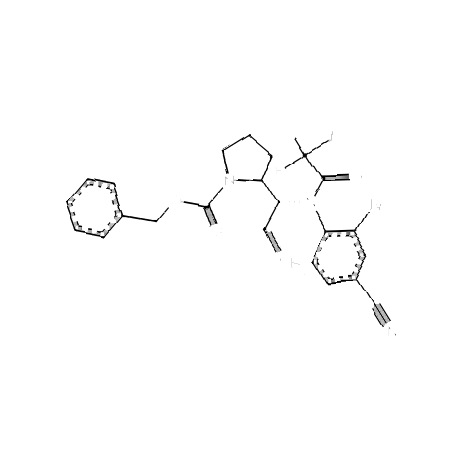 C=C[C@H](C1CCCN1C(=O)OCc1ccccc1)N(C(=O)C(F)(F)F)c1ccc(C#N)cc1Br